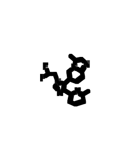 Cc1cccc(-c2ncn(CC(F)F)c2-c2ccc3ncc(C)n3c2)n1